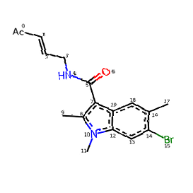 CC(=O)/C=C/CNC(=O)c1c(C)n(C)c2cc(Br)c(C)cc12